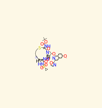 COc1ccc2c(OC3C[C@H]4C(=O)N[C@]5(C(=O)NS(=O)(=O)C6CC6)C[C@H]5/C=C\CCCSC[C@H](NC(=O)OC(C)(C)C)C(=O)N4C3)nc(-c3ncco3)cc2c1